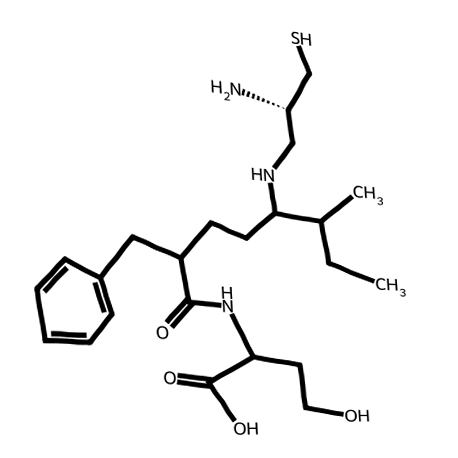 CCC(C)C(CCC(Cc1ccccc1)C(=O)NC(CCO)C(=O)O)NC[C@H](N)CS